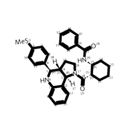 CSc1ccc([C@@H]2Nc3ccccc3[C@H]3[C@H]2CCN3C(=O)[C@H]2CCCC[C@H]2NC(=O)c2ccccc2)cc1